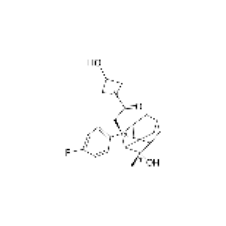 C[C@]1(O)C2CC3CC(C2)[C@@](CC(=O)N2CC(O)C2)(c2ccc(F)cc2)C1C3